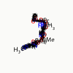 COc1cc2c(cc1OCCCOc1cc3c(cc1OC)C(=O)N1C=C(c4ccc(N5CCN(C)CC5)cc4)C[C@H]1C=N3)N=C[C@@H]1CC(c3ccc(NC(=O)[C@H](C)NC(=O)C(NC(=O)CCCCCN4C(=O)CC(CC5CCCCCC5)C4=O)C(C)C)cc3)=CN1C2=O